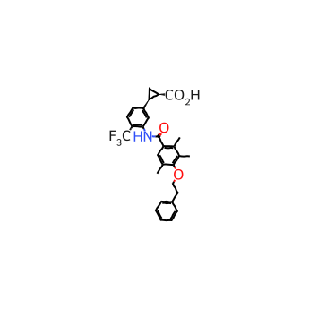 Cc1cc(C(=O)Nc2cc([C@H]3C[C@H]3C(=O)O)ccc2C(F)(F)F)c(C)c(C)c1OCCc1ccccc1